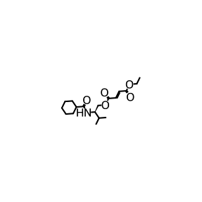 CCOC(=O)/C=C/C(=O)OC[C@H](NC(=O)C1CCCCC1)C(C)C